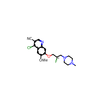 COc1cc2c(Cl)c(C#N)cnc2cc1OC[C@H](F)CN1CCN(C)CC1